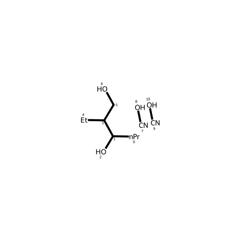 CCCC(O)C(CC)CO.N#CO.N#CO